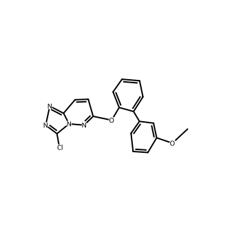 COc1cccc(-c2ccccc2Oc2ccc3nnc(Cl)n3n2)c1